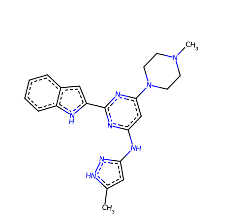 Cc1cc(Nc2cc(N3CCN(C)CC3)nc(-c3cc4ccccc4[nH]3)n2)n[nH]1